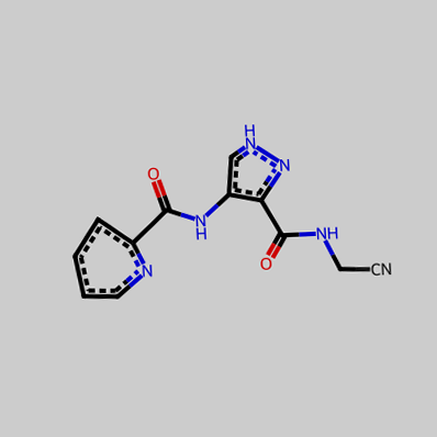 N#CCNC(=O)c1n[nH]cc1NC(=O)c1ccccn1